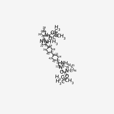 CC(C)(C)OC(=O)N1C(c2ncc(-c3ccc(-c4ccc(-c5cnc(C6CC7CC7N6C(=O)OC(C)(C)C)[nH]5)cc4)cc3)[nH]2)CC2CC21